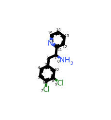 NC(Cc1ccc(Cl)c(Cl)c1)c1ccccn1